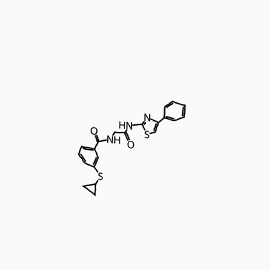 O=C(CNC(=O)c1cccc(SC2CC2)c1)Nc1nc(-c2ccccc2)cs1